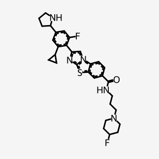 O=C(NCCCN1CCC(F)CC1)c1ccc2c(c1)sc1nc(-c3c(F)cc(C4CCCN4)cc3C3CC3)cn12